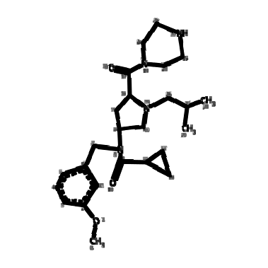 COc1cccc(CN(C(=O)C2CC2)C2CC(C(=O)N3CCNCC3)N(CC(C)C)C2)c1